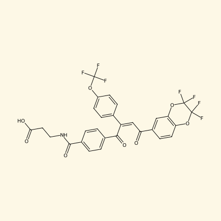 O=C(O)CCNC(=O)c1ccc(C(=O)/C(=C\C(=O)c2ccc3c(c2)OC(F)(F)C(F)(F)O3)c2ccc(OC(F)(F)F)cc2)cc1